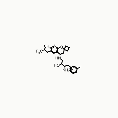 CC(=O)N[C@@H](Cc1cccc(F)c1)[C@@H](O)CN[C@H]1CC2(CCC2)Oc2ncc(C[C@H](C)C(F)(F)F)cc21